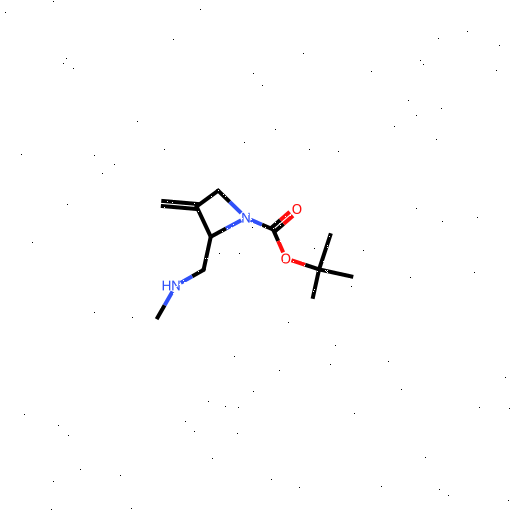 C=C1CN(C(=O)OC(C)(C)C)C1CNC